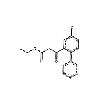 CCOC(=O)CC(=O)c1cc(Cl)ccc1-c1ccccc1